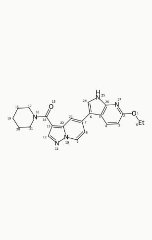 CCOc1ccc2c(-c3ccn4ncc(C(=O)N5CCCCC5)c4c3)c[nH]c2n1